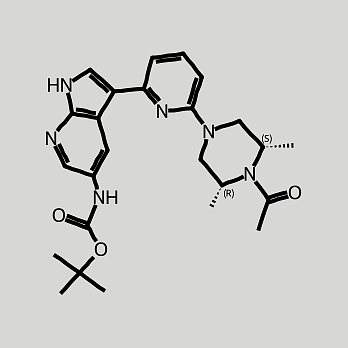 CC(=O)N1[C@H](C)CN(c2cccc(-c3c[nH]c4ncc(NC(=O)OC(C)(C)C)cc34)n2)C[C@@H]1C